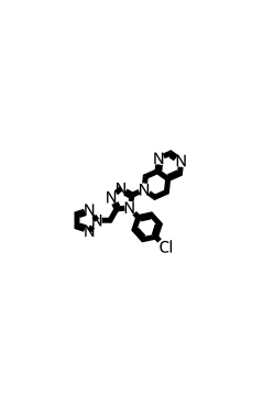 Clc1ccc(-n2c(Cn3nccn3)nnc2N2CCc3cncnc3C2)cc1